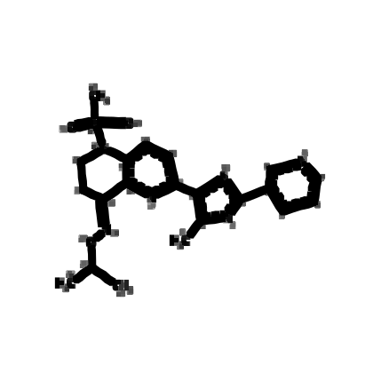 Cc1nc(-c2cccnc2)sc1-c1ccc2c(n1)/C(=N/OC(C)C)CCN2S(C)(=O)=O